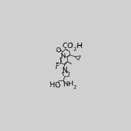 Cc1c(N2CCC(C(N)CO)C2)c(F)cn2c(=O)c(C(=O)O)cc(C3CC3)c12